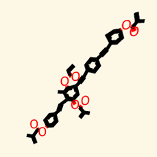 C=CC(=O)Oc1c(C#Cc2ccc(C#Cc3ccc(OC(=O)C(=C)C)cc3)cc2)cc(OC(=O)C(=C)C)c(C#Cc2ccc(OC(=O)C(=C)C)cc2)c1C